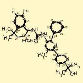 Cc1cc(NC(=O)NC2c3cc(F)c(F)cc3C(C)(C)C[C@H]2O)c(-c2ccccc2)nc1-c1cnc(C(C)(C)O)nc1